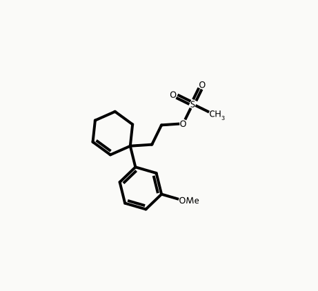 COc1cccc(C2(CCOS(C)(=O)=O)C=CCCC2)c1